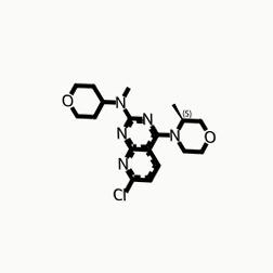 C[C@H]1COCCN1c1nc(N(C)C2CCOCC2)nc2nc(Cl)ccc12